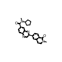 CN(C(=O)c1ccc2ncc(-c3ccc4c(=O)n(C)ccc4c3)nc2c1)C1CCCC1